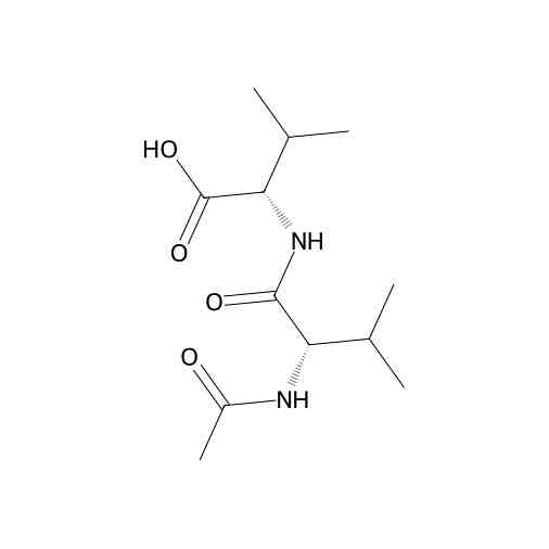 CC(=O)N[C@H](C(=O)N[C@H](C(=O)O)C(C)C)C(C)C